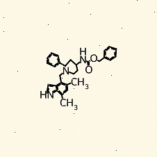 Cc1cc(C)c2[nH]ccc2c1CN1CCC(NC(=O)OCc2ccccc2)CC1c1ccccc1